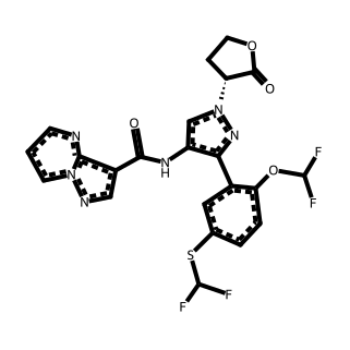 O=C(Nc1cn([C@@H]2CCOC2=O)nc1-c1cc(SC(F)F)ccc1OC(F)F)c1cnn2cccnc12